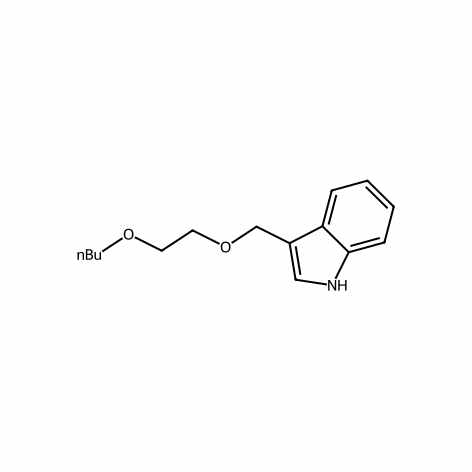 CCCCOCCOCc1c[nH]c2ccccc12